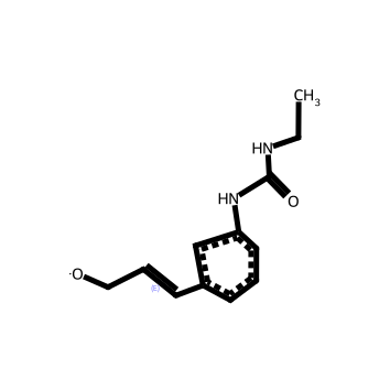 CCNC(=O)Nc1cccc(/C=C/C[O])c1